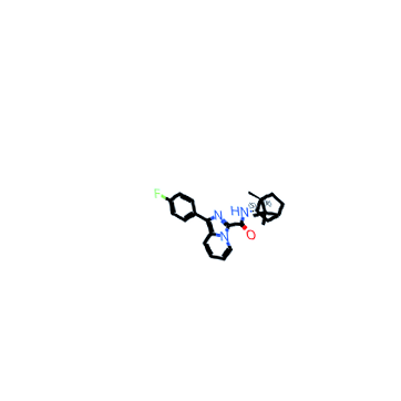 CC1(C)C2CC[C@@]1(C)[C@@H](NC(=O)c1nc(-c3ccc(F)cc3)c3ccccn13)C2